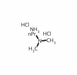 CCCN(C)C.Cl.Cl.N